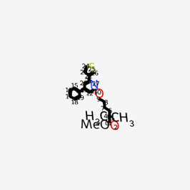 COC(=O)C(C)(C)CCCCOc1cc(-c2ccccc2)cc(-c2ccsc2)n1